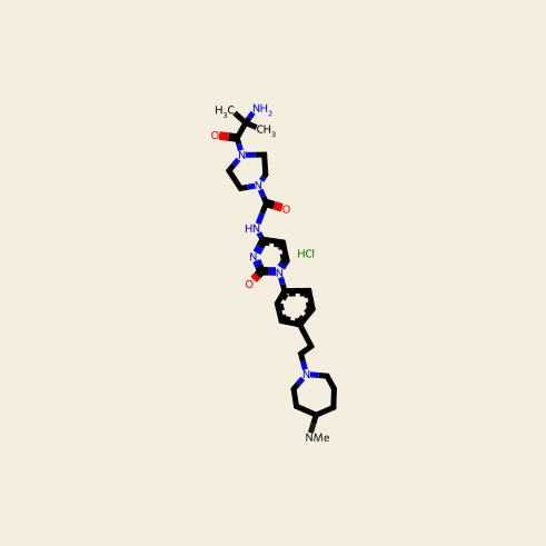 CNC1CCCN(CCc2ccc(-n3ccc(NC(=O)N4CCN(C(=O)C(C)(C)N)CC4)nc3=O)cc2)CC1.Cl